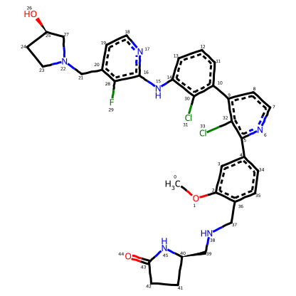 COc1cc(-c2nccc(-c3cccc(Nc4nccc(CN5CC[C@@H](O)C5)c4F)c3Cl)c2Cl)ccc1CNC[C@H]1CCC(=O)N1